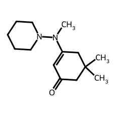 CN(C1=CC(=O)CC(C)(C)C1)N1CCCCC1